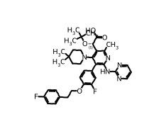 Cc1nc(Nc2ncccn2)c(-c2ccc(OCCc3ccc(F)cc3)c(F)c2)c(N2CCC(C)(C)CC2)c1[C@H](OC(C)(C)C)C(=O)O